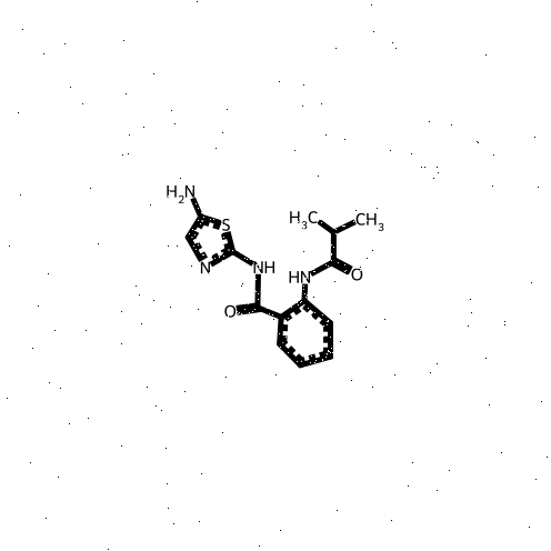 CC(C)C(=O)Nc1ccccc1C(=O)Nc1ncc(N)s1